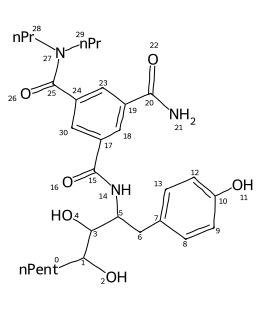 CCCCCC(O)C(O)C(Cc1ccc(O)cc1)NC(=O)c1cc(C(N)=O)cc(C(=O)N(CCC)CCC)c1